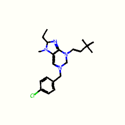 CCC1N=C2C(=CN(Cc3ccc(Cl)cc3)CN2CCC(C)(C)C)N1C